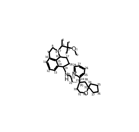 COC(C)(C)C(C)N1CCc2cccc3c2C1CCC3NCC[C@@]1(c2ccccn2)CCOC2(CCCC2)C1